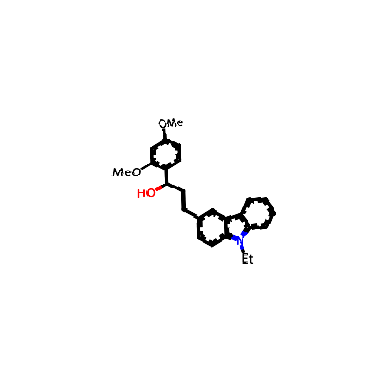 CCn1c2ccccc2c2cc(CCC(O)c3ccc(OC)cc3OC)ccc21